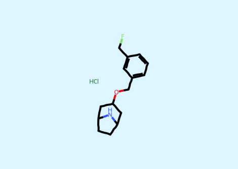 Cl.FCc1cccc(COC2CC3CCC(C2)N3)c1